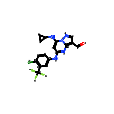 O=Cc1cnn2c(NC3CC3)cc(Nc3ccc(Cl)c(C(F)(F)F)c3)nc12